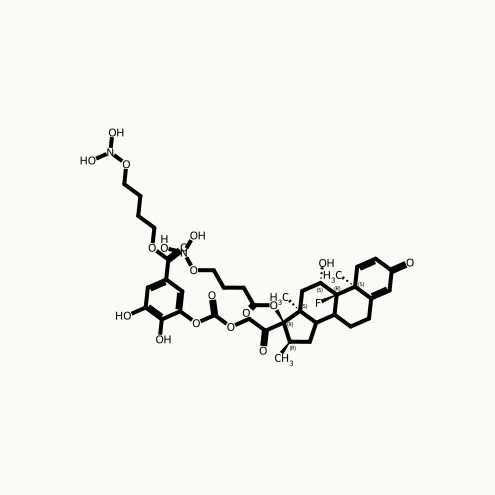 C[C@@H]1CC2C3CCC4=CC(=O)C=C[C@]4(C)[C@@]3(F)[C@@H](O)C[C@]2(C)[C@@]1(OC(=O)CCCON(O)O)C(=O)COC(=O)Oc1cc(C(=O)OCCCCON(O)O)cc(O)c1O